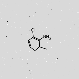 CC1CC=CC(Cl)=C1N